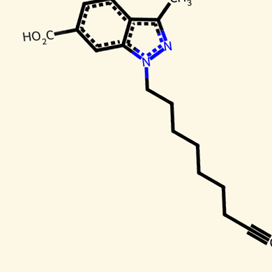 C#CCCCCCCCn1nc(C)c2ccc(C(=O)O)cc21